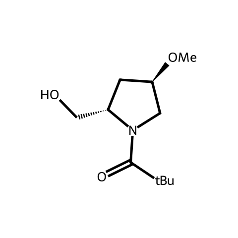 CO[C@@H]1C[C@@H](CO)N(C(=O)C(C)(C)C)C1